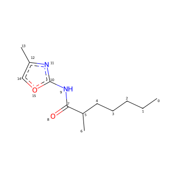 CCCCCC(C)C(=O)Nc1nc(C)co1